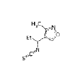 CCC(N=C=S)c1conc1C